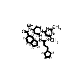 Cc1cc(N2CCC(N(C)C(=O)c3ccc4c(c3)[C@H](NC(=O)CCC3CCCC3)CC4)CC2)nc(C)n1